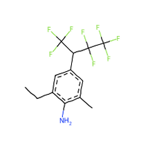 CCc1cc(C(C(F)(F)F)C(F)(F)C(F)(F)F)cc(C)c1N